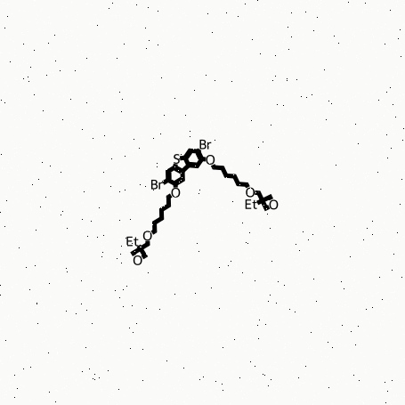 CCC1(COCCCCCCOc2cc3c(cc2Br)sc2cc(Br)c(OCCCCCCOCC4(CC)COC4)cc23)COC1